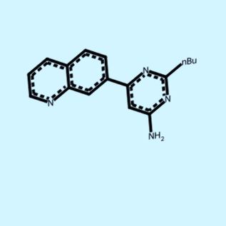 CCCCc1nc(N)cc(-c2ccc3cccnc3c2)n1